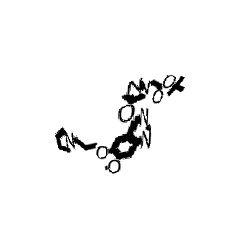 COc1cc2ncnc(Oc3cnn(CC(=O)OC(C)(C)C)c3)c2cc1OCCCN1CCCC1